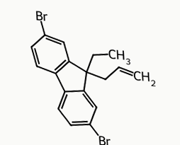 C=CCC1(CC)c2cc(Br)ccc2-c2ccc(Br)cc21